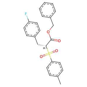 Cc1ccc(S(=O)(=O)[C@H](Cc2ccc(F)cc2)C(=O)OCc2ccccc2)cc1